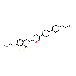 CCCC1CCC(C2CCC(C3CCC(CCc4ccc(OCC)c(F)c4C(F)(F)F)OC3)CC2)CC1